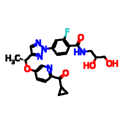 C[C@@H](Oc1ccc(C(=O)C2CC2)nc1)c1cnn(-c2ccc(C(=O)NC[C@H](O)CO)c(F)c2)n1